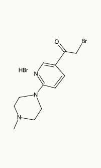 Br.CN1CCN(c2ccc(C(=O)CBr)cn2)CC1